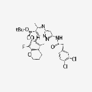 Cc1nc2cc(NC(=O)Cc3ccc(Cl)c(Cl)c3)nn2c(-c2cc(F)c3c(c2C)CCCO3)c1[C@H](OC(C)(C)C)C(=O)O